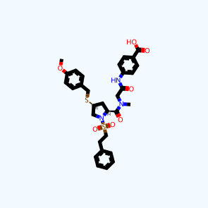 COc1ccc(CS[C@@H]2C[C@@H](C(=O)N(C)CC(=O)Nc3ccc(C(=O)O)cc3)N(S(=O)(=O)CCc3ccccc3)C2)cc1